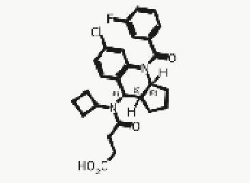 O=C(O)CCC(=O)N(C1CCC1)[C@H]1c2ccc(Cl)cc2N(C(=O)c2cccc(F)c2)[C@@H]2CCC[C@@H]21